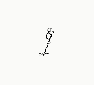 CN(CCCOc1ccc(C(F)(F)F)cc1)N=O